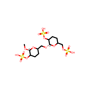 CO[C@H]1OC(CO[C@H]2OC(COS(=O)(=O)O)CCC2OS(=O)(=O)O)CCC1OS(=O)(=O)O